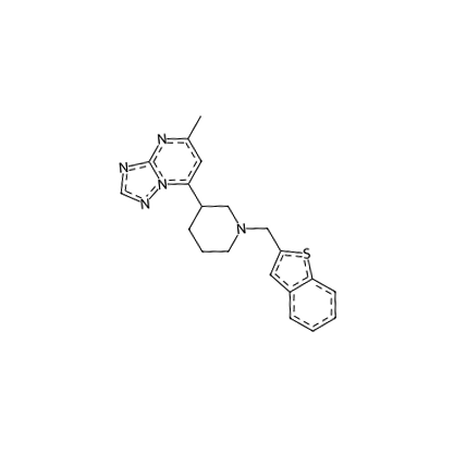 Cc1cc(C2CCCN(Cc3cc4ccccc4s3)C2)n2ncnc2n1